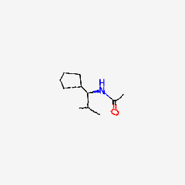 CC(=O)N[C@@H](C(C)C)C1CCCC1